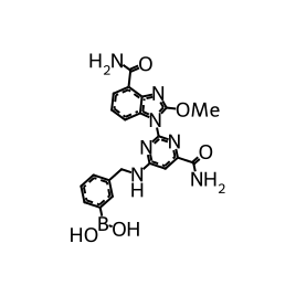 COc1nc2c(C(N)=O)cccc2n1-c1nc(NCc2cccc(B(O)O)c2)cc(C(N)=O)n1